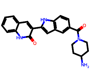 NC1CCN(C(=O)c2ccc3[nH]c(-c4cc5ccccc5[nH]c4=O)cc3c2)CC1